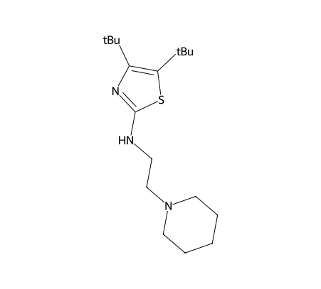 CC(C)(C)c1nc(NCCN2CCCCC2)sc1C(C)(C)C